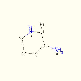 NC1CCCNC1.[Pt]